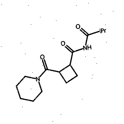 CC(C)C(=O)NC(=O)C1CCC1C(=O)N1CCCCC1